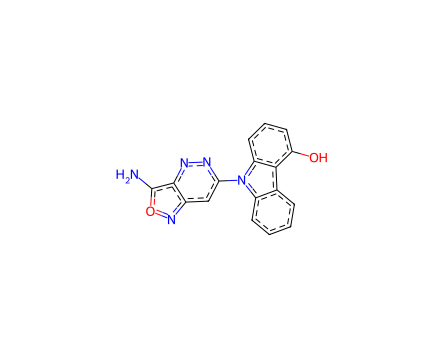 Nc1onc2cc(-n3c4ccccc4c4c(O)cccc43)nnc12